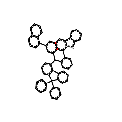 c1ccc(C2(c3ccccc3)c3ccccc3-c3c(N(c4cccc(-c5cccc6ccccc56)c4)c4ccccc4-c4cccc5c4oc4ccccc45)cccc32)cc1